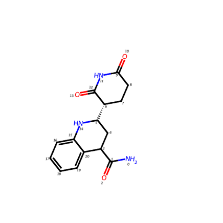 NC(=O)C1CC([C@H]2CCC(=O)NC2=O)Nc2ccccc21